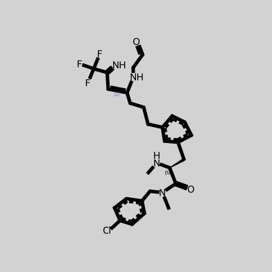 CN[C@@H](Cc1cccc(CCC/C(=C/C(=N)C(F)(F)F)NCC=O)c1)C(=O)N(C)Cc1ccc(Cl)cc1